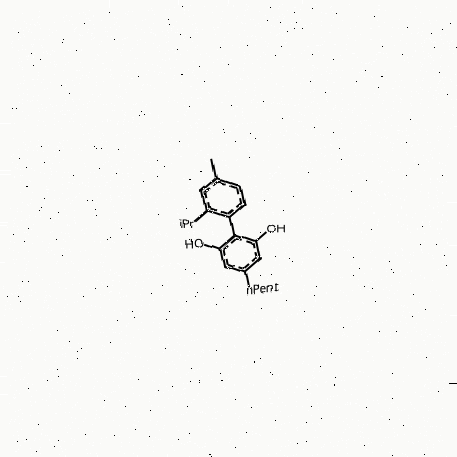 CCCCCc1cc(O)c(-c2ccc(C)cc2C(C)C)c(O)c1